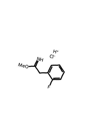 COC(=N)Cc1ccccc1F.[Cl-].[H+]